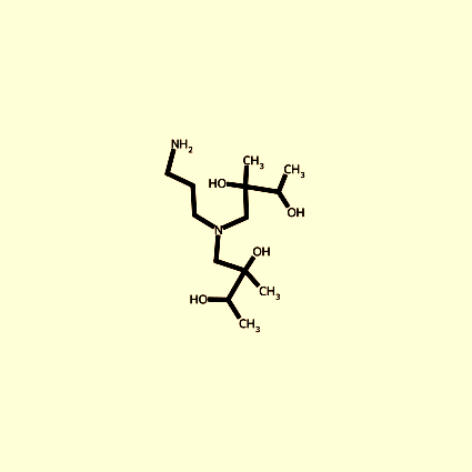 CC(O)C(C)(O)CN(CCCN)CC(C)(O)C(C)O